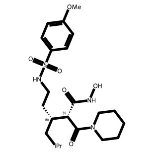 COc1ccc(S(=O)(=O)NCC[C@@H](CC(C)C)[C@H](C(=O)NO)C(=O)N2CCCCC2)cc1